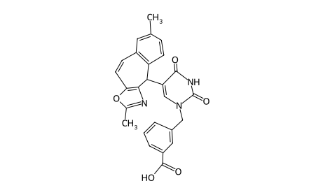 Cc1ccc2c(c1)C=Cc1oc(C)nc1C2c1cn(Cc2cccc(C(=O)O)c2)c(=O)[nH]c1=O